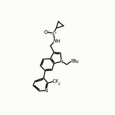 CC(C)(C)Cn1cc(CN[S+]([O-])C2CC2)c2ccc(-c3cccnc3C(F)(F)F)cc21